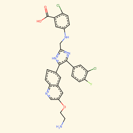 NCCOc1cnc2ccc(-c3[nH]c(CNc4ccc(Cl)c(C(=O)O)c4)nc3-c3ccc(F)c(Cl)c3)cc2c1